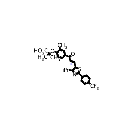 Cc1cc(C(=O)/C=C/c2sc(-c3ccc(C(F)(F)F)cc3)nc2C(C)C)ccc1OC(C)(C)C(=O)O